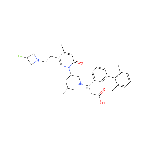 Cc1cc(=O)n(C(CN[C@@H](CC(=O)O)c2cccc(-c3c(C)cccc3C)c2)CC(C)C)cc1CCN1CC(F)C1